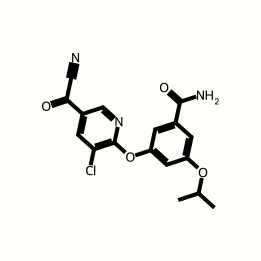 CC(C)Oc1cc(Oc2ncc(C(=O)C#N)cc2Cl)cc(C(N)=O)c1